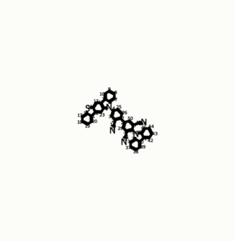 N#Cc1cc(-n2c3ccccc3c3cc4sc5ccccc5c4cc32)ccc1-c1cc(C#N)c(-n2c3ccccc3c3ccccc32)c(C#N)c1